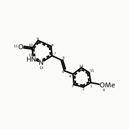 COc1ccc(C=Cc2ccc(=O)[nH]n2)cc1